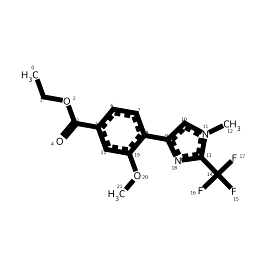 CCOC(=O)c1ccc(-c2cn(C)c(C(F)(F)F)n2)c(OC)c1